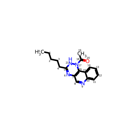 CCCCCC1=Nc2cnc3ccccc3c2N(C(C)=O)N1